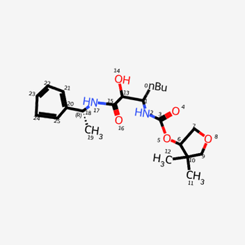 CCCCC(NC(=O)OC1COCC1(C)C)C(O)C(=O)N[C@H](C)c1ccccc1